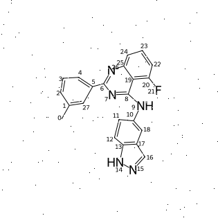 Cc1cccc(-c2nc(Nc3ccc4[nH]ncc4c3)c3c(F)cccc3n2)c1